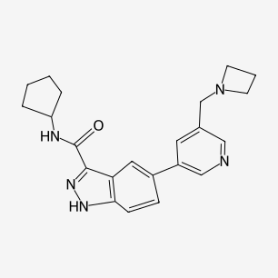 O=C(NC1CCCC1)c1n[nH]c2ccc(-c3cncc(CN4CCC4)c3)cc12